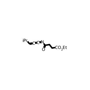 CCOC(=O)CCC(=O)N=C=C=CC(C)C